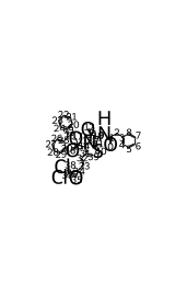 O=C(Cc1ccccc1)NC1C(=O)N2C(C(=O)OC(c3ccccc3)c3ccccc3)=C(/C=C/C3OC3(Cl)Cl)CSC12